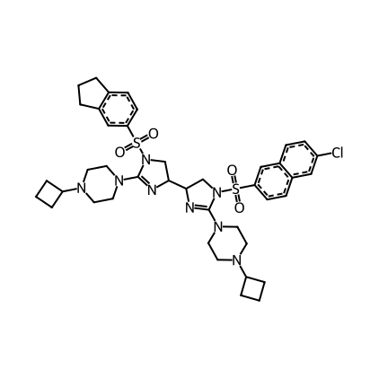 O=S(=O)(c1ccc2c(c1)CCC2)N1CC(C2CN(S(=O)(=O)c3ccc4cc(Cl)ccc4c3)C(N3CCN(C4CCC4)CC3)=N2)N=C1N1CCN(C2CCC2)CC1